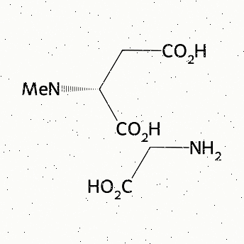 CN[C@H](CC(=O)O)C(=O)O.NCC(=O)O